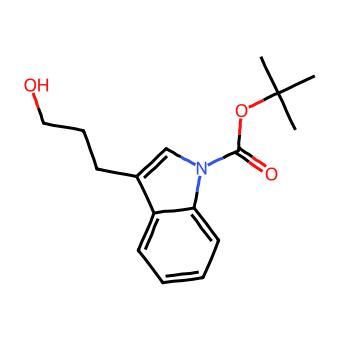 CC(C)(C)OC(=O)n1cc(CCCO)c2ccccc21